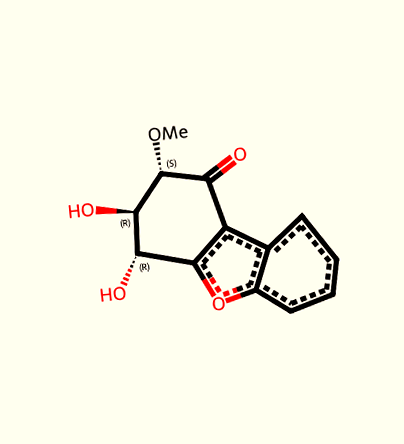 CO[C@@H]1C(=O)c2c(oc3ccccc23)[C@H](O)[C@H]1O